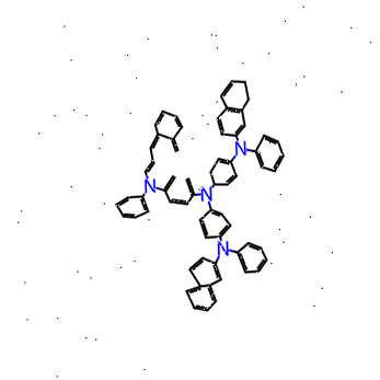 C=C(/C=C\C(=C)N(c1ccc(N(c2ccccc2)c2ccc3ccccc3c2)cc1)C1C=CC(N(c2ccccc2)c2ccc3c(c2)CCC=C3)=CC1)N(/C=C/C=c1/ccccc1=C)c1ccccc1